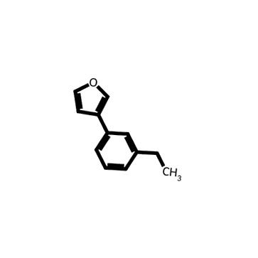 CCc1cccc(-c2ccoc2)c1